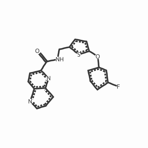 O=C(NCc1ccc(Oc2cccc(F)c2)s1)c1ccc2ncccc2n1